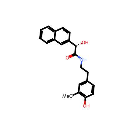 COc1cc(CCNC(=O)[C@@H](O)c2ccc3ccccc3c2)ccc1O